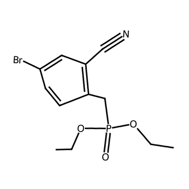 CCOP(=O)(Cc1ccc(Br)cc1C#N)OCC